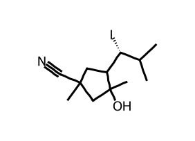 CC(C)[C@@H](I)C1CC(C)(C#N)CC1(C)O